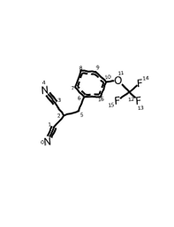 N#CC(C#N)Cc1cccc(OC(F)(F)F)c1